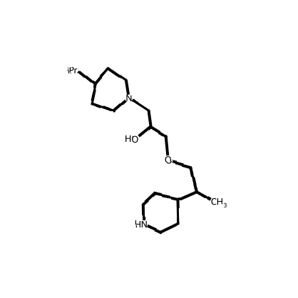 CC(C)C1CCN(CC(O)COCC(C)C2CCNCC2)CC1